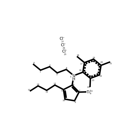 CCCCC[SiH](C1=[C]([Ti+3])CC=C1CCCC)c1c(C)cc(C)cc1C.[Cl-].[Cl-].[Cl-]